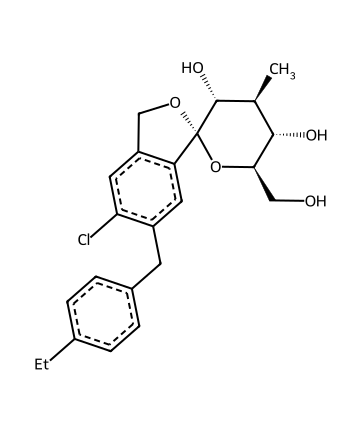 CCc1ccc(Cc2cc3c(cc2Cl)CO[C@]32O[C@H](CO)[C@@H](O)[C@H](C)[C@H]2O)cc1